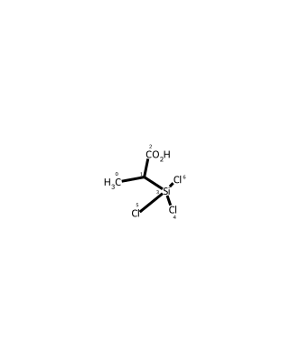 CC(C(=O)O)[Si](Cl)(Cl)Cl